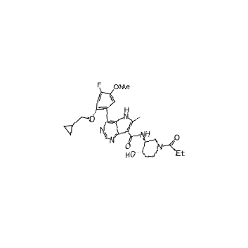 CCC(=O)N1CC[C@H](O)[C@@H](NC(=O)c2c(C)[nH]c3c(-c4cc(OC)c(F)cc4OCC4CC4)ncnc23)C1